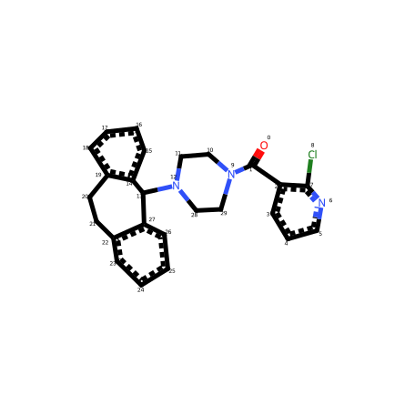 O=C(c1cccnc1Cl)N1CCN(C2c3ccccc3CCc3ccccc32)CC1